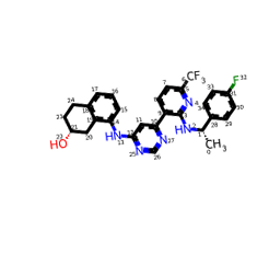 C[C@H](Nc1nc(C(F)(F)F)ccc1-c1cc(Nc2cccc3c2C[C@H](O)CC3)ncn1)c1ccc(F)cc1